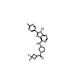 CCn1c(-c2cnc(C)nc2)nc2c(N[C@H]3CCN(C(=O)C4CC(F)(F)C4)C3)ncnc21